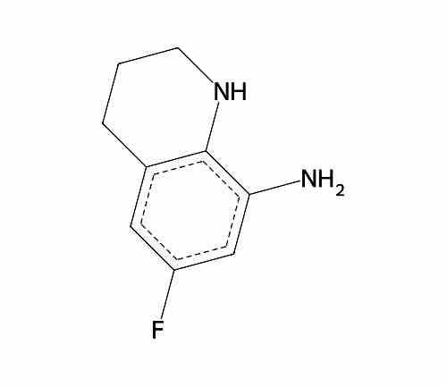 Nc1cc(F)cc2c1NCCC2